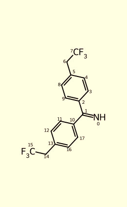 N=C(c1ccc(CC(F)(F)F)cc1)c1ccc(CC(F)(F)F)cc1